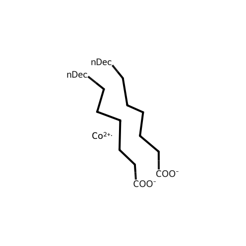 CCCCCCCCCCCCCCCC(=O)[O-].CCCCCCCCCCCCCCCC(=O)[O-].[Co+2]